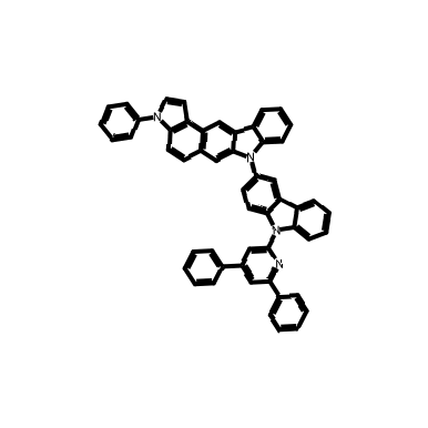 c1ccc(-c2cc(-c3ccccc3)nc(-n3c4ccccc4c4cc(-n5c6ccccc6c6cc7c(ccc8c7ccn8-c7ccccc7)cc65)ccc43)c2)cc1